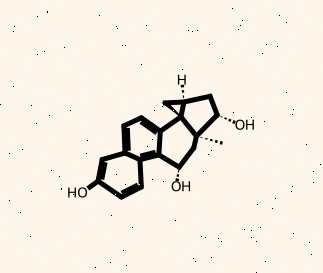 C[C@]12C[C@H](O)c3c(ccc4cc(O)ccc34)[C@@]13C[C@H]3C[C@@H]2O